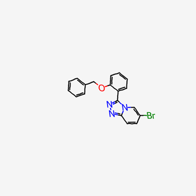 Brc1ccc2nnc(-c3ccccc3OCc3ccccc3)n2c1